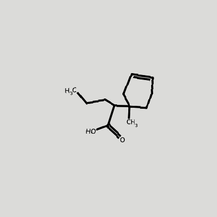 CCCC(C(=O)O)C1(C)CC=CCC1